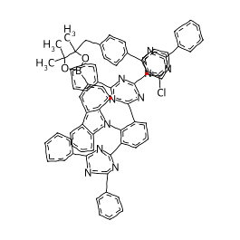 CC1(C)OB(c2ccc3c(c2)c2ccccc2n3-c2c(-c3nc(-c4ccccc4)nc(-c4ccccc4)n3)cccc2-c2nc(-c3ccccc3)nc(-c3ccccc3)n2)OC1(C)Cc1ccc(-c2nc(Cl)nc(-c3ccccc3)n2)cc1